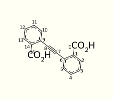 O=C(O)c1ccccc1C#Cc1ccccc1C(=O)O